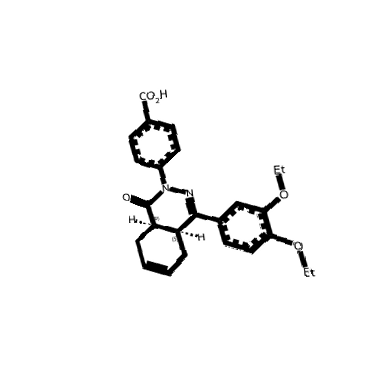 CCOc1ccc(C2=NN(c3ccc(C(=O)O)cc3)C(=O)[C@@H]3CC=CC[C@H]23)cc1OCC